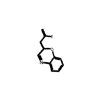 C=C(F)CC1C=Nc2ccccc2O1